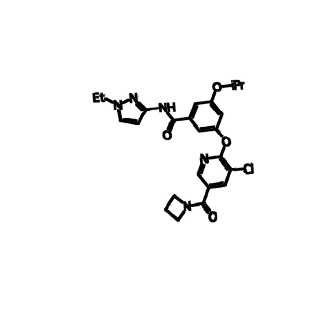 CCn1ccc(NC(=O)c2cc(Oc3ncc(C(=O)N4CCC4)cc3Cl)cc(OC(C)C)c2)n1